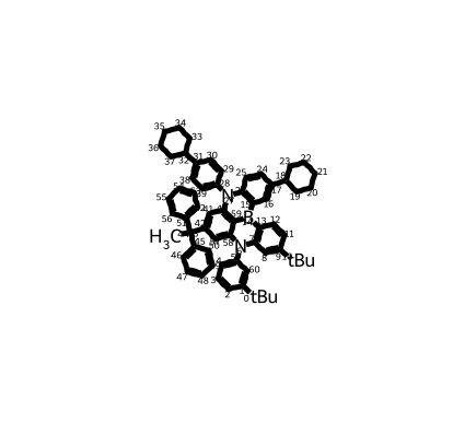 CC(C)(C)c1cccc(N2c3cc(C(C)(C)C)ccc3B3c4cc(C5CCCCC5)ccc4N(c4ccc(C5CCCCC5)cc4)c4cc(C(C)(c5ccccc5)c5ccccc5)cc2c43)c1